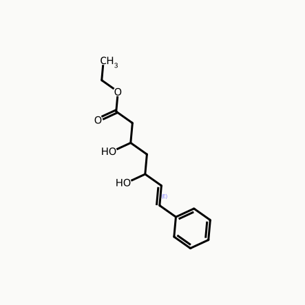 CCOC(=O)CC(O)CC(O)/C=C/c1ccccc1